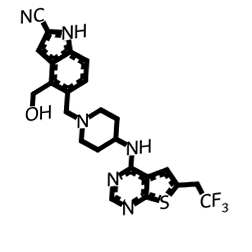 N#Cc1cc2c(CO)c(CN3CCC(Nc4ncnc5sc(CC(F)(F)F)cc45)CC3)ccc2[nH]1